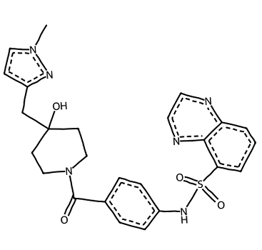 Cn1ccc(CC2(O)CCN(C(=O)c3ccc(NS(=O)(=O)c4cccc5nccnc45)cc3)CC2)n1